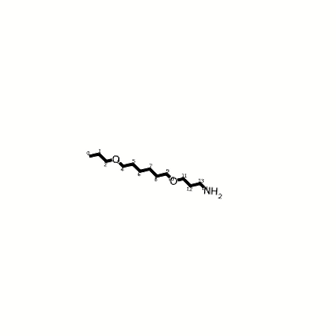 CCCOCCCCCCOCCCN